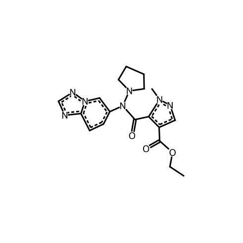 CCOC(=O)c1cnn(C)c1C(=O)N(c1ccc2ncnn2c1)N1CCCC1